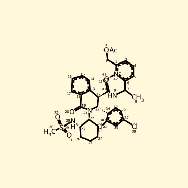 CC(=O)OCc1cccc(C(C)NC(=O)[C@@H]2c3ccccc3C(=O)N([C@H]3CCCC[C@@H]3NS(C)(=O)=O)[C@H]2c2ccc(Cl)cc2Cl)[n+]1[O-]